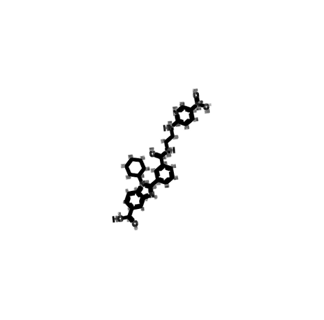 O=C(O)c1ccc2c(c1)nc(-c1cccc(C(=O)NCCNc3ccc([N+](=O)[O-])cn3)c1)n2C1CCCCC1